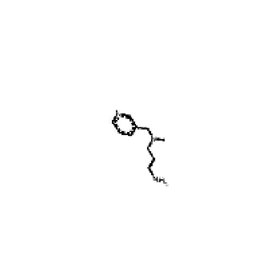 CN(CCCN)Cc1cccnc1